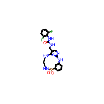 O=C(NCc1cnc2nc1NCCCNS(=O)(=O)c1cccc(c1)N2)Nc1c(F)cccc1F